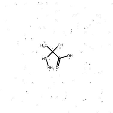 CC(O)(NN)C(=O)O